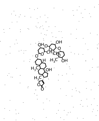 C[C@@H]1O[C@H](O[C@H]2[C@@H](O)C[C@H](O[C@H]3[C@@H](O)C[C@H](O[C@H]4CC[C@]5(C)C6CC[C@]7(C)[C@@H](C8=CC(=O)OC8)CC[C@]7(O)C6CC[C@@H]5C4)O[C@@H]3C)O[C@@H]2C)CC[C@H]1O